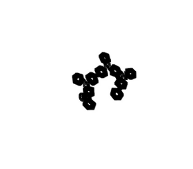 c1ccc(-c2ccc3c(c2)c2cc(N(c4ccccc4)c4ccc(-c5ccc(N(c6ccccc6)c6ccc7c(c6)oc6ccccc67)cc5)cc4)ccc2n3-c2ccccc2)cc1